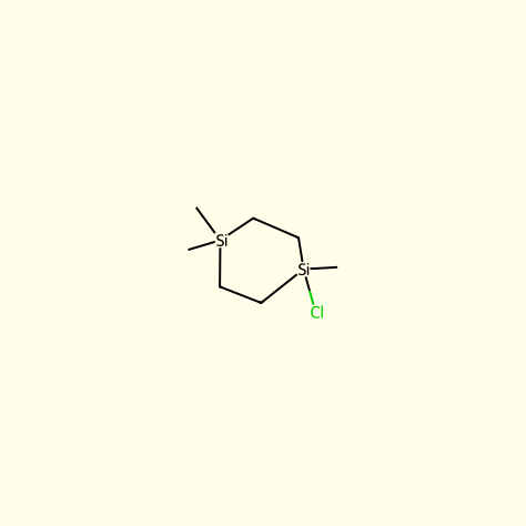 C[Si]1(C)CC[Si](C)(Cl)CC1